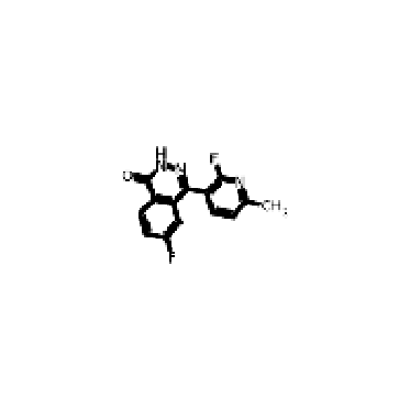 Cc1ccc(-c2n[nH]c(=O)c3ccc(F)cc23)c(F)n1